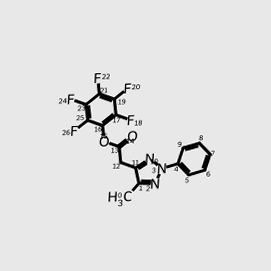 Cc1nn(-c2ccccc2)nc1CC(=O)Oc1c(F)c(F)c(F)c(F)c1F